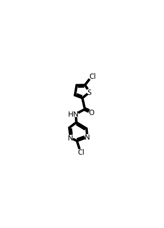 O=C(Nc1cnc(Cl)nc1)c1ccc(Cl)s1